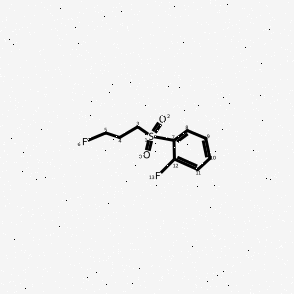 O=S(=O)(CCCF)c1ccccc1F